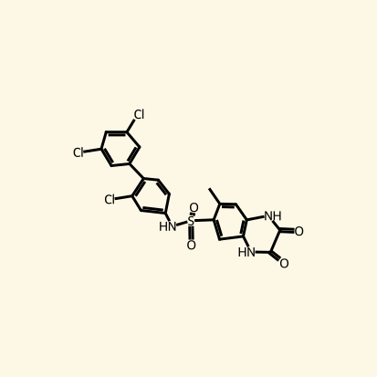 Cc1cc2[nH]c(=O)c(=O)[nH]c2cc1S(=O)(=O)Nc1ccc(-c2cc(Cl)cc(Cl)c2)c(Cl)c1